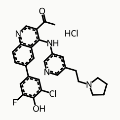 CC(=O)c1cnc2ccc(-c3cc(F)c(O)c(Cl)c3)cc2c1Nc1cncc(CCN2CCCC2)c1.Cl